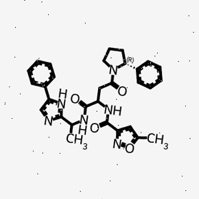 Cc1cc(C(=O)NC(CC(=O)N2CCC[C@@H]2c2ccccc2)C(=O)NC(C)c2ncc(-c3ccccc3)[nH]2)no1